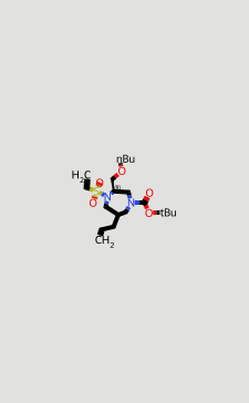 C=CCC1CN(C(=O)OC(C)(C)C)C[C@H](COCCCC)N(S(=O)(=O)C=C)C1